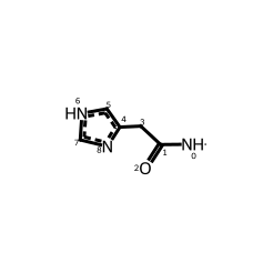 [NH]C(=O)Cc1c[nH]cn1